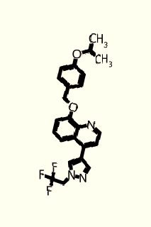 CC(C)Oc1ccc(COc2cccc3c(-c4cnn(CC(F)(F)F)c4)ccnc23)cc1